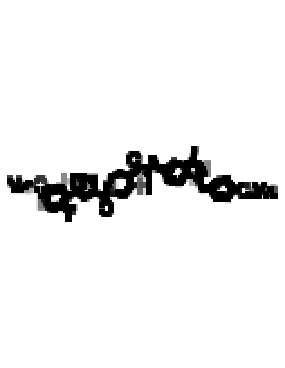 COc1ccc(Cn2nc(C)c3cc(C(C)NC(=O)C4CCN(C(=O)c5cc(-c6cc(OC)ncc6F)[nH]n5)CC4)ccc32)cc1